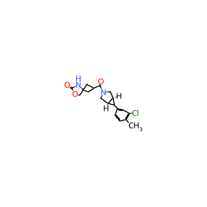 Cc1ccc(C2[C@H]3CN(C(=O)C4CC5(COC(=O)N5)C4)C[C@@H]23)cc1Cl